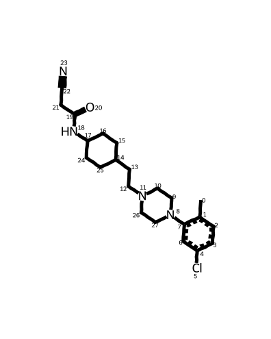 Cc1ccc(Cl)cc1N1CCN(CCC2CCC(NC(=O)CC#N)CC2)CC1